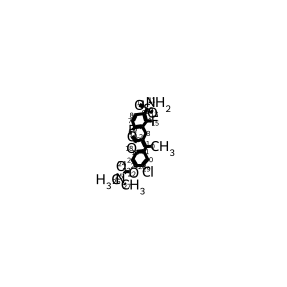 Cc1c(Cc2c(F)ccc(S(N)(=O)=O)c2F)c(=O)oc2cc(OC(=O)N(C)C)c(Cl)cc12